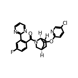 O=C(c1ccc(F)cc1-c1ncccn1)N1C[C@@H]2CC[C@H]1[C@H](Oc1ccc(Cl)cn1)C2